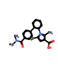 Cc1cc(C(=O)O)c(C)n1-c1ccccc1-c1ccc(C(=O)N(C)C)cc1